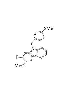 COc1cc2c3ncccc3n(Cc3ccc(SC)cc3)c2cc1F